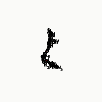 C[C@H](CCC(=O)NCCOCCOCCOCCNC(=O)Cn1nc2c(c1-c1ccc(O)cc1)C(=O)c1c(NC(=O)NN3CCOCC3)cccc1-2)NC(=O)c1ccc(N(C)Cc2cnc3nc(N)nc(N)c3n2)cc1